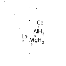 [AlH3].[Ce].[La].[MgH2]